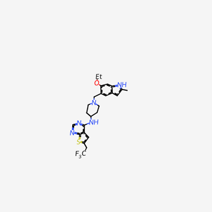 CCOc1cc2[nH]c(C)cc2cc1CN1CCC(Nc2ncnc3sc(CC(F)(F)F)cc23)CC1